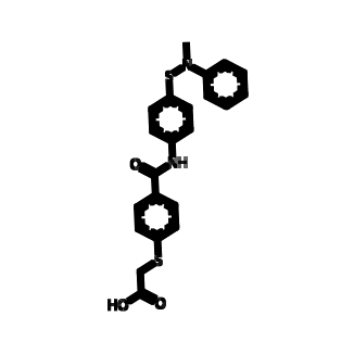 CN(Sc1ccc(NC(=O)c2ccc(SCC(=O)O)cc2)cc1)c1ccccc1